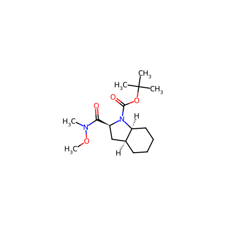 CON(C)C(=O)[C@@H]1C[C@@H]2CCCC[C@@H]2N1C(=O)OC(C)(C)C